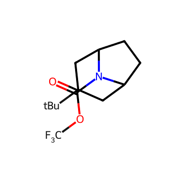 CC(C)(C)C1CC2CCC(C1)N2C(=O)OC(F)(F)F